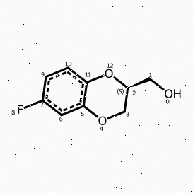 OC[C@H]1COc2cc(F)ccc2O1